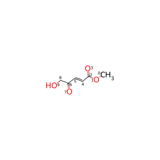 COC(=O)C=CC(=O)CO